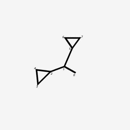 CC(C1CC1)C1CC1